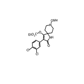 CCOC(=O)OC1=C(c2ccc(Cl)c(Cl)c2)C(=O)NC12CCN(OC)CC2